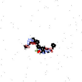 CO[C@@H](C)c1ncc(N2CCN(C(=O)OCc3ccccc3)CC2)cc1-c1c(CC(C)(C)CO)c2cc(-c3cccc([C@]4(C(=O)O)CCCNN4C(=O)CCNC(=O)OC(C)(C)C)c3)ccc2n1CC(F)(F)F